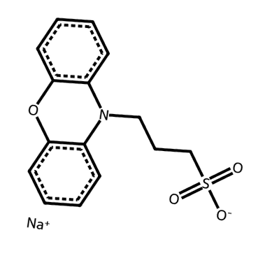 O=S(=O)([O-])CCCN1c2ccccc2Oc2ccccc21.[Na+]